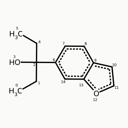 CCC(O)(CC)c1ccc2ccoc2c1